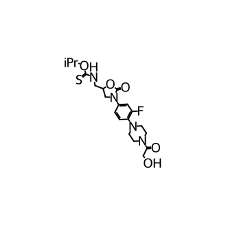 CC(C)OC(=S)NCC1CN(c2ccc(N3CCN(C(=O)CO)CC3)c(F)c2)C(=O)O1